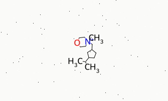 CC(C)C1CCC(C[N+]2(C)CCOCC2)C1